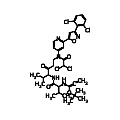 C=C=C(NC(C(=O)NC(C(=O)CCN(C(=O)C(Cl)Cl)c1ccnc(-c2cc(-c3c(Cl)cccc3Cl)no2)c1)C(C)C)C(C)C)OC(C)(C)C